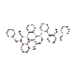 c1ccc2c(c1)Sc1cccc(-c3ccccc3-c3ccc4c(c3-c3ccccc3-c3cccc5c3Sc3ccccc3S5)Sc3ccccc3S4)c1S2